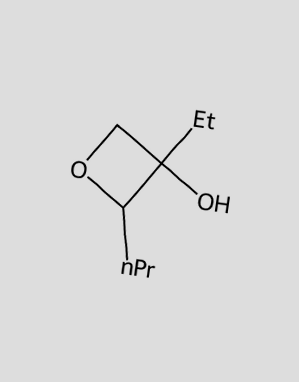 CCCC1OCC1(O)CC